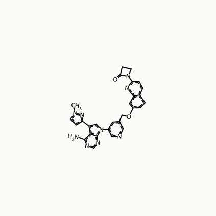 Cn1ccc(-c2cn(-c3cncc(COc4ccc5ccc(N6CCC6=O)nc5c4)c3)c3ncnc(N)c23)n1